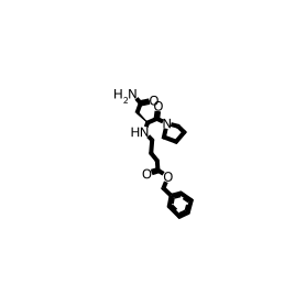 NC(=O)C[C@H](NCCCC(=O)OCc1ccccc1)C(=O)N1CCCC1